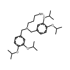 CC(C)Oc1ccc(CN(CCCN)Cc2ccc(OC(C)C)c(OC(C)C)c2)cc1OC(C)C